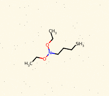 CCON(CCC[SiH3])OCC